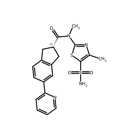 Cc1nc(N(C)C(=O)[C@H]2Cc3ccc(-c4ccccn4)cc3C2)sc1S(N)(=O)=O